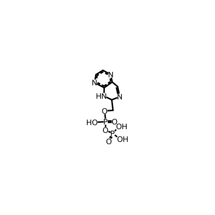 O=P(O)(O)OP(=O)(O)OCC1N=Cc2nccnc2N1